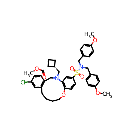 COC(=O)[C@@H]1CC[C@H]1CN1Cc2ccc(Cl)cc2CCCCOc2ccc(S(=O)(=O)N(Cc3ccc(OC)cc3)Cc3ccc(OC)cc3)cc21